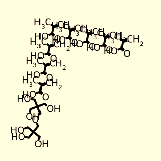 C=C(C)C(=O)O.C=C(C)C(=O)O.C=C(C)C(=O)O.C=C(C)C(=O)O.C=C(C)C(=O)O.C=C(C)C(=O)O.C=C(C)C(=O)O.C=C(C)C(=O)O.OCC(CO)(CO)COCC(CO)(CO)CO